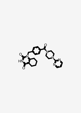 O=C(c1ccc(Cn2c3c(c(=O)[nH]c2=O)CCCC3)cc1)N1CCN(c2ncccn2)CC1